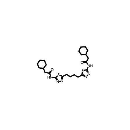 O=C(CC1CCCCC1)Nc1nnc(CCCCc2nnc(NC(=O)CC3CCCCC3)s2)s1